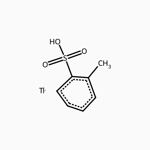 Cc1ccccc1S(=O)(=O)O.[Tl]